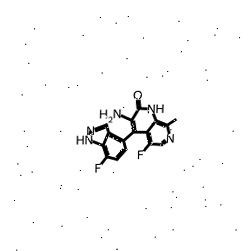 Cc1ncc(F)c2c(-c3ccc(F)c4[nH]ncc34)c(N)c(=O)[nH]c12